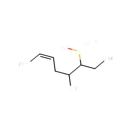 C/C=C\CC(C)C(CC)[S@@+](C)[O-]